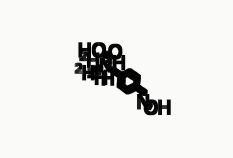 [2H]C([2H])([2H])N(C(=O)O)C([2H])([2H])c1ccc(C=NO)cc1